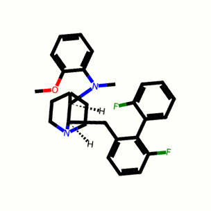 COc1ccccc1N(C)[C@@H]1C2CCN(CC2)[C@@H]1Cc1cccc(F)c1-c1ccccc1F